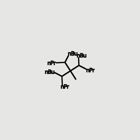 CCCCC(CCC)C(C)(C(CCC)CCCC)C(CCC)CCCC